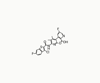 Cc1nc(NC(=O)c2sc3cc(F)ccc3c2Cl)c(C)c(C)c1-c1cc(F)cnc1C(=O)O